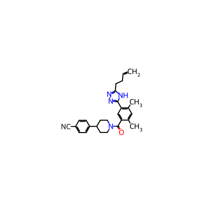 C=CCCc1nnc(-c2cc(C(=O)N3CCC(c4ccc(C#N)cc4)CC3)c(C)cc2C)[nH]1